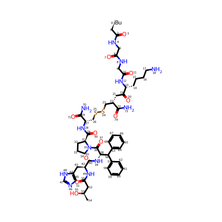 CC[C@H](C)CC(=O)NCC(=O)NCC(=O)N[C@H](CCCCN)C(=O)C[C@@H](CSSC[C@H](NC(=O)[C@@H]1CCCN1C(=O)[C@@H](NC(=O)[C@H](Cc1cnc[nH]1)NC(=O)C[C@@H](C)O)C(c1ccccc1)c1ccccc1)C(N)=O)C(N)=O